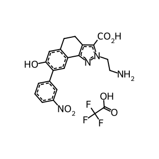 NCCn1nc2c(c1C(=O)O)CCc1cc(O)c(-c3cccc([N+](=O)[O-])c3)cc1-2.O=C(O)C(F)(F)F